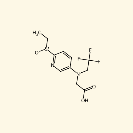 CC[S+]([O-])c1ccc(N(CC(=O)O)CC(F)(F)F)cn1